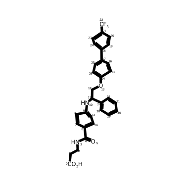 O=C(O)CCNC(=O)c1ccc(NC(COc2ccc(-c3ccc(C(F)(F)F)cc3)cc2)c2ccccc2)cc1